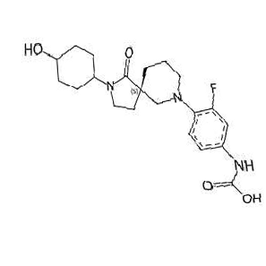 O=C(O)Nc1ccc(N2CCC[C@]3(CCN(C4CCC(O)CC4)C3=O)C2)c(F)c1